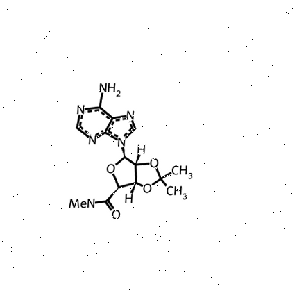 CNC(=O)[C@H]1O[C@@H](n2cnc3c(N)ncnc32)[C@@H]2OC(C)(C)O[C@@H]21